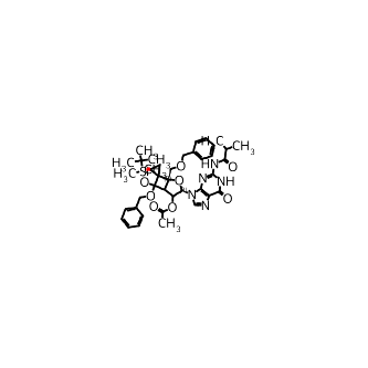 CC(=O)OC1C2C(OCc3ccccc3)(O[Si](C)(C)C(C)(C)C)C3(CC3)[C@]2(COCc2ccccc2)O[C@H]1n1cnc2c(=O)[nH]c(NC(=O)C(C)C)nc21